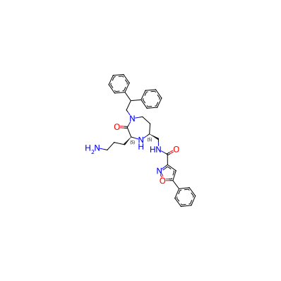 NCCC[C@@H]1N[C@H](CNC(=O)c2cc(-c3ccccc3)on2)CCN(CC(c2ccccc2)c2ccccc2)C1=O